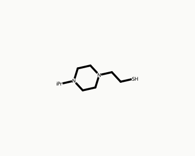 CC(C)N1CCN(CCS)CC1